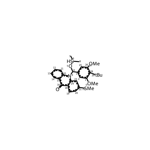 COc1cc(C(O[SiH](C)C)n2c3ccccc3c(=O)c3ccc(SC)cc32)cc(OC)c1C(C)(C)C